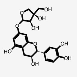 OC[C@@]1(O)COC(Oc2cc(O)c3c(c2)O[C@H](c2ccc(O)c(O)c2)[C@@H](O)C3)[C@@H]1O